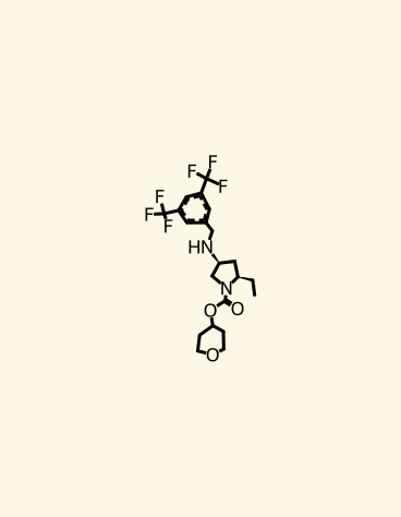 CC[C@@H]1C[C@H](NCc2cc(C(F)(F)F)cc(C(F)(F)F)c2)CN1C(=O)OC1CCOCC1